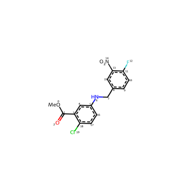 COC(=O)c1cc(NCc2ccc(F)c([N+](=O)[O-])c2)ccc1Cl